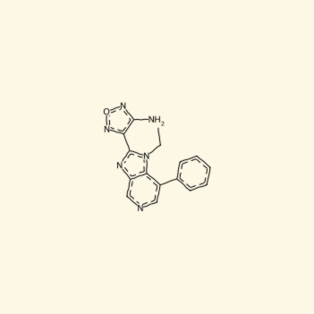 CCn1c(-c2nonc2N)nc2cncc(-c3ccccc3)c21